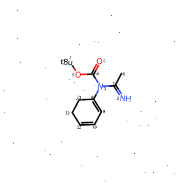 CC(=N)N(C(=O)OC(C)(C)C)C1=CC=CC[CH]1